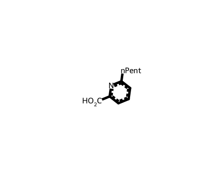 CCCCCc1cccc(C(=O)O)n1